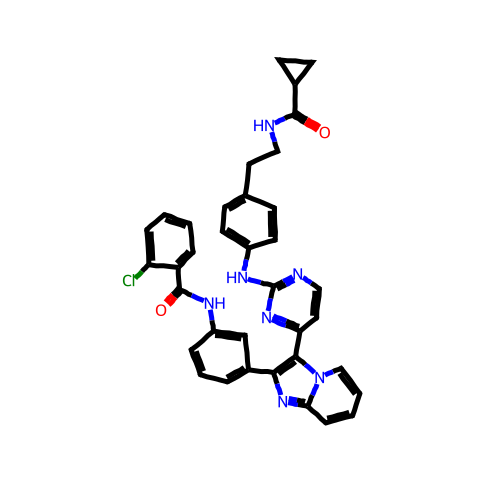 O=C(Nc1cccc(-c2nc3ccccn3c2-c2ccnc(Nc3ccc(CCNC(=O)C4CC4)cc3)n2)c1)c1ccccc1Cl